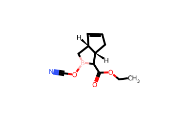 CCOC(=O)C1B(OC#N)C[C@@H]2C=CC[C@H]12